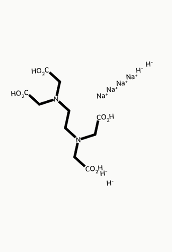 O=C(O)CN(CCN(CC(=O)O)CC(=O)O)CC(=O)O.[H-].[H-].[H-].[H-].[Na+].[Na+].[Na+].[Na+]